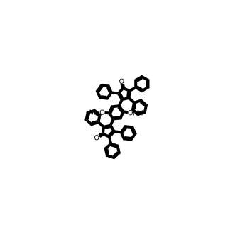 COc1cc(C2=C(c3ccccc3)C(=O)C(c3ccccc3)=C2c2ccccc2)c(OC)cc1C1=C(c2ccccc2)C(=O)C(c2ccccc2)=C1c1ccccc1